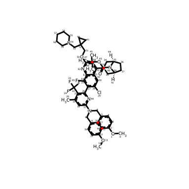 COc1ccc(CN(Cc2ccc(OC)cc2)c2cc(C)c(C(F)(F)F)c(-c3c(Cl)cc4c(N5C[C@H]6CC[C@@H](C5)N6C(=O)OC(C)(C)C)nc(OCC5(CN6CCCCC6)CC5)nc4c3F)n2)cc1